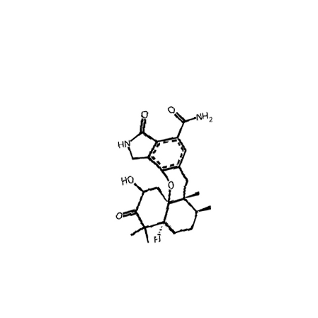 C[C@H]1CC[C@H]2C(C)(C)C(=O)C(O)C[C@]23Oc2c(cc(C(N)=O)c4c2CNC4=O)C[C@]13C